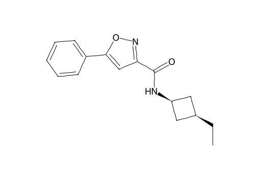 CC[C@H]1C[C@@H](NC(=O)c2cc(-c3ccccc3)on2)C1